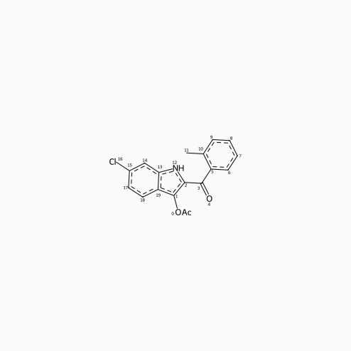 CC(=O)Oc1c(C(=O)c2ccccc2C)[nH]c2cc(Cl)ccc12